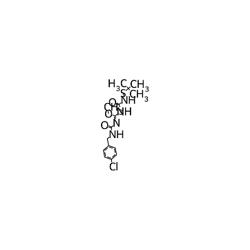 COC(=NC(=O)NCc1ccc(Cl)cc1)NC(=O)NSC(C)(C)C